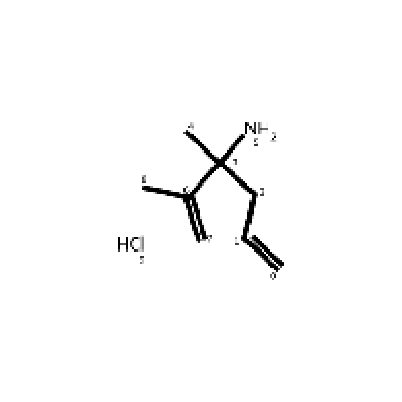 C=CCC(C)(N)C(=C)C.Cl